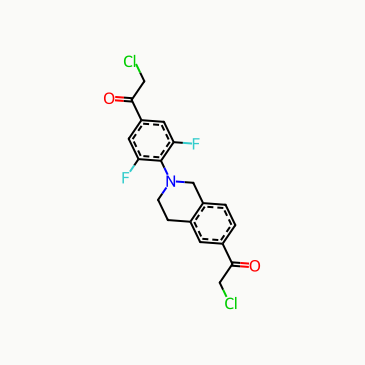 O=C(CCl)c1cc(F)c(N2CCc3cc(C(=O)CCl)ccc3C2)c(F)c1